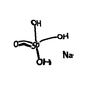 [Na].[O]=[Sb]([OH])([OH])[OH]